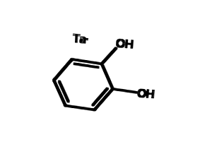 Oc1ccccc1O.[Ta]